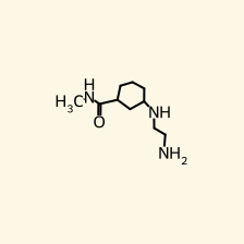 CNC(=O)C1CCCC(NCCN)C1